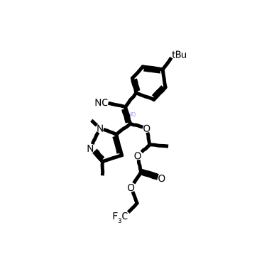 Cc1cc(/C(OC(C)OC(=O)OCC(F)(F)F)=C(\C#N)c2ccc(C(C)(C)C)cc2)n(C)n1